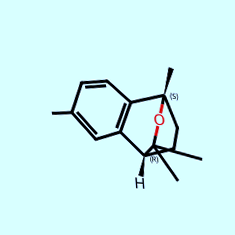 Cc1ccc2c(c1)[C@H]1CC[C@]2(C)OC1(C)C